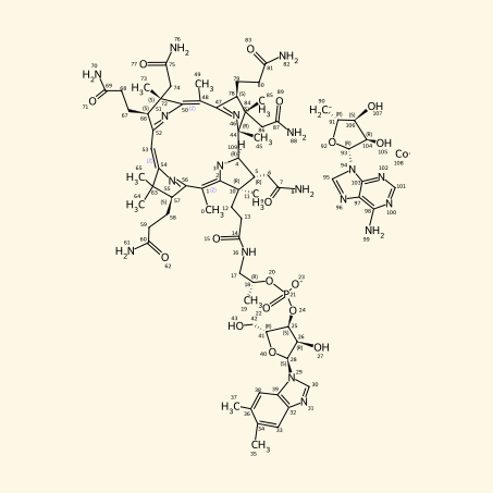 C/C1=C2/[N-][C@H]([C@H](CC(N)=O)[C@@]2(C)CCC(=O)NC[C@@H](C)OP(=O)([O-])O[C@H]2[C@@H](O)[C@@H](n3cnc4cc(C)c(C)cc43)O[C@@H]2CO)[C@]2(C)N=C(/C(C)=C3N=C(/C=C4N=C1[C@@H](CCC(N)=O)C\4(C)C)[C@@H](CCC(N)=O)[C@]\3(C)CC(N)=O)[C@@H](CCC(N)=O)[C@]2(C)CC(N)=O.[CH2-][C@H]1O[C@@H](n2cnc3c(N)ncnc32)[C@H](O)[C@@H]1O.[Co]